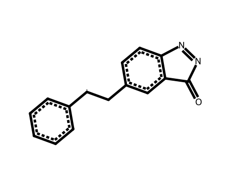 O=C1N=Nc2ccc(C[CH]c3ccccc3)cc21